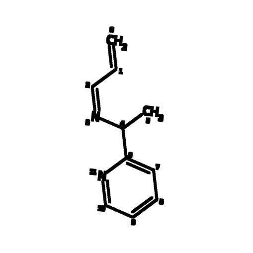 C=C/C=N\C(C)c1ccccn1